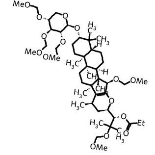 CCC(=O)O[C@@H]([C@H]1C[C@@H](C)C2=C(O1)[C@H](OCOC)[C@@]1(C)[C@@H]3CC[C@H]4C(C)(C)[C@@H](O[C@@H]5OC[C@@H](OCOC)[C@H](OCOC)[C@H]5OCOC)CC[C@]4(C)[C@]3(C)CC[C@]21C)C(C)(C)OCOC